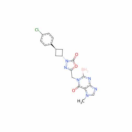 Bc1nc2ncn(C)c2c(=O)n1Cc1nn([C@H]2C[C@H](c3ccc(Cl)cc3)C2)c(=O)o1